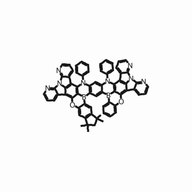 CC1(C)CC(C)(C)c2cc3c(cc21)Oc1c2c(c4c5cccnc5n5c6ncccc6c1c45)N(c1ccccc1)c1cc4c(cc1B32)B1c2ccccc2Oc2c1c(c1c3cccnc3n3c5ncccc5c2c13)N4c1ccccc1